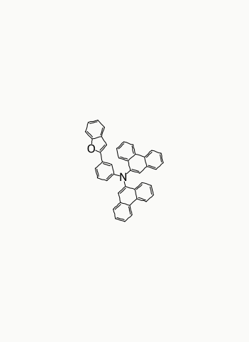 c1cc(-c2cc3ccccc3o2)cc(N(c2cc3ccccc3c3ccccc23)c2cc3ccccc3c3ccccc23)c1